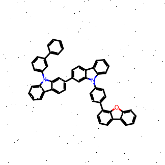 c1ccc(-c2cccc(-n3c4ccccc4c4ccc(-c5ccc6c7ccccc7n(-c7ccc(-c8cccc9c8oc8ccccc89)cc7)c6c5)cc43)c2)cc1